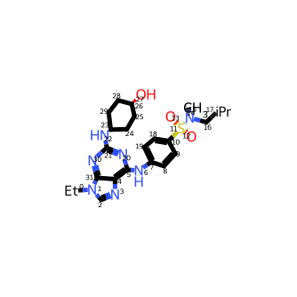 CCn1cnc2c(Nc3ccc(S(=O)(=O)N(C)CC(C)C)cc3)nc(N[C@H]3CC[C@H](O)CC3)nc21